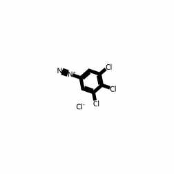 N#[N+]c1cc(Cl)c(Cl)c(Cl)c1.[Cl-]